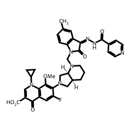 COc1c(N2C[C@@H]3CCCN(CN4C(=O)/C(=N\NC(=O)c5ccncc5)c5cc(C)ccc54)[C@@H]3C2)c(F)cc2c(=O)c(C(=O)O)cn(C3CC3)c12